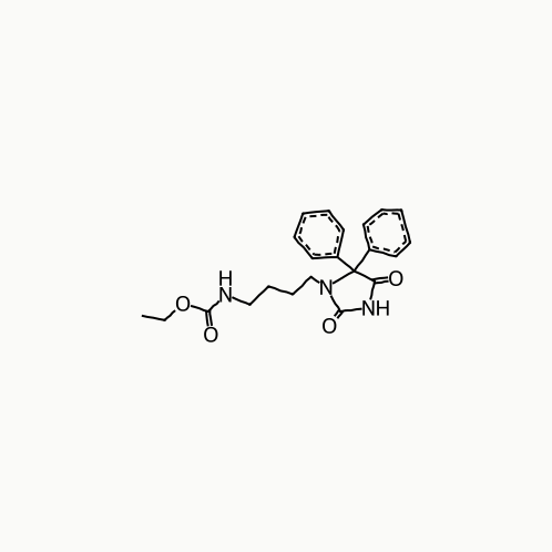 CCOC(=O)NCCCCN1C(=O)NC(=O)C1(c1ccccc1)c1ccccc1